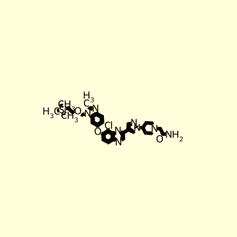 Cc1nc2ccc(Oc3ccc4ncc(-c5cnn(C6CCN(CC(N)=O)CC6)c5)nc4c3Cl)cc2n1COCC[Si](C)(C)C